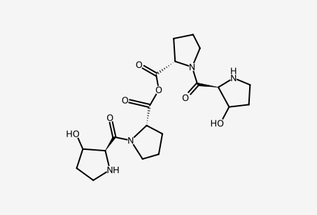 O=C(OC(=O)[C@@H]1CCCN1C(=O)[C@H]1NCCC1O)[C@@H]1CCCN1C(=O)[C@H]1NCCC1O